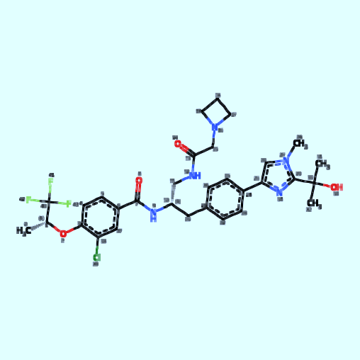 C[C@@H](Oc1ccc(C(=O)N[C@H](CNC(=O)CN2CCC2)Cc2ccc(-c3cn(C)c(C(C)(C)O)n3)cc2)cc1Cl)C(F)(F)F